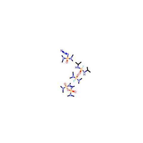 CC(C)NP(=O)(F)NC(C)C.CN(C)P(=O)(F)N(C)C.CN(C)P(=O)(N=[N+]=[N-])N(C)C.CN(C)P(=O)(OP(=O)(N(C)C)N(C)C)N(C)C